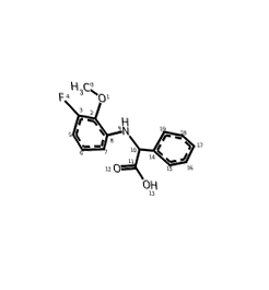 COc1c(F)cccc1NC(C(=O)O)c1ccccc1